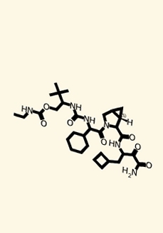 CCNC(=O)OCC(NC(=O)NC(C(=O)N1CC2C[C@@H]2C1C(=O)NC(CC1CCC1)C(=O)C(N)=O)C1CCCCC1)C(C)(C)C